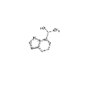 CC(O)c1cccc2ncnn12